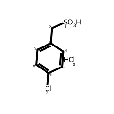 Cl.O=S(=O)(O)Cc1ccc(Cl)cc1